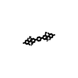 Cc1cc(C)c(N2C(F)=CC(=c3ccc(=C4C=C(F)N(c5c(C)cc(C)cc5C)C(F)=C4)cc3)C=C2F)c(C)c1